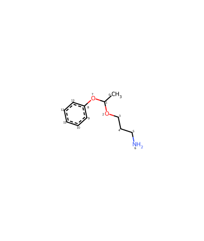 CC(OCCCN)Oc1ccccc1